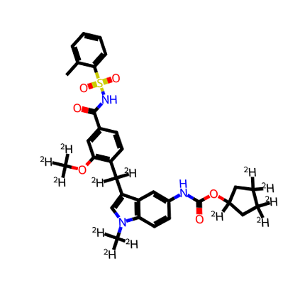 [2H]C([2H])([2H])Oc1cc(C(=O)NS(=O)(=O)c2ccccc2C)ccc1C([2H])([2H])c1cn(C([2H])([2H])[2H])c2ccc(NC(=O)OC3([2H])CC([2H])([2H])C([2H])([2H])C3)cc12